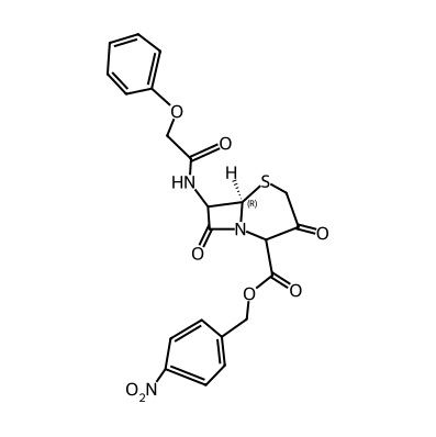 O=C(COc1ccccc1)NC1C(=O)N2C(C(=O)OCc3ccc([N+](=O)[O-])cc3)C(=O)CS[C@H]12